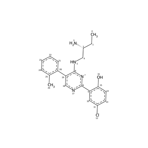 CC[C@@H](N)CNc1nc(-c2cc(Cl)ccc2O)ncc1-c1ccccc1C